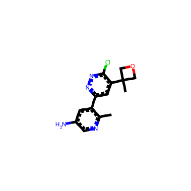 Cc1ncc(N)cc1-c1cc(C2(C)COC2)c(Cl)nn1